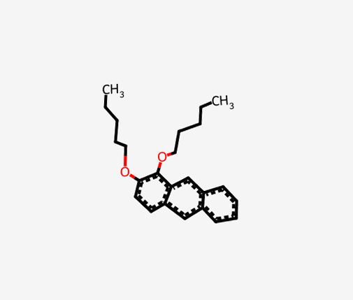 CCCCCOc1ccc2cc3ccccc3cc2c1OCCCCC